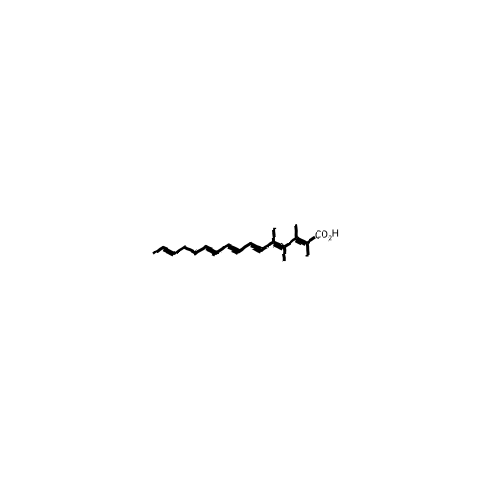 C/C=C/CC/C=C/C=C/C=C/C(C)=C(C)/C(C)=C(\C)C(=O)O